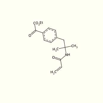 C=CC(=O)NC(C)(C)Cc1ccc(C(=O)C(=O)OCC)cc1